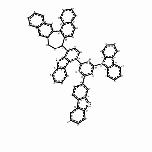 c1ccc2cc3c(cc2c1)CCC(c1ccc(-c2nc(-c4ccc5c(c4)oc4ccccc45)nc(-n4c5ccccc5c5ccccc54)n2)c2c1oc1ccccc12)c1ccc2ccccc2c1-3